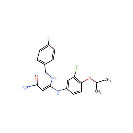 CC(C)Oc1ccc(N/C(=C/C(N)=O)NCc2ccc(Cl)cc2)cc1F